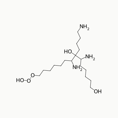 NCCCCC(O)(C(N)CCCCCO)C(N)CCCCCCOOO